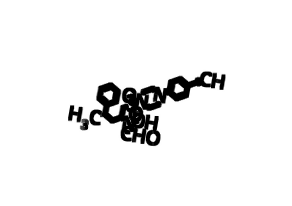 C#Cc1ccc(N2CCN(S(=O)(=O)CC(C[C@H](C)c3ccccc3)N(O)C=O)CC2)cc1